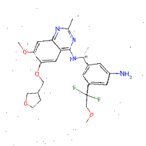 COCC(F)(F)c1cc(N)cc([C@@H](C)Nc2nc(C)nc3cc(OC)c(OCC4CCOC4)cc23)c1